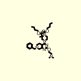 CCCCOC(=O)N1CCN(c2nc(OCCN(C)C)nc3c2CCN(Cc2ccccc2)C3)CC1(C)C(=O)OCCCC